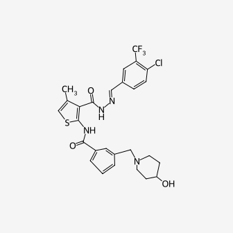 Cc1csc(NC(=O)c2cccc(CN3CCC(O)CC3)c2)c1C(=O)N/N=C/c1ccc(Cl)c(C(F)(F)F)c1